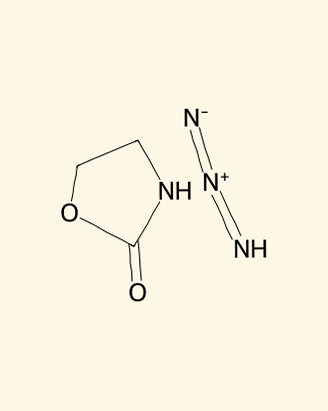 O=C1NCCO1.[N-]=[N+]=N